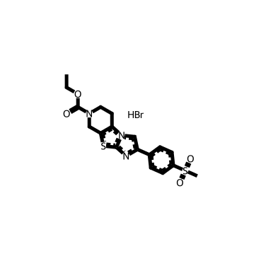 Br.CCOC(=O)N1CCc2c(sc3nc(-c4ccc(S(C)(=O)=O)cc4)cn23)C1